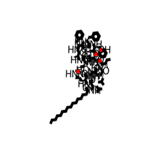 CCCCCCCCCCCCCCCC(=O)N[C@@H](CC(C)C)C(=O)N[C@@H](Cc1c[nH]cn1)C(=O)N[C@@H](CO)C(=O)N[C@@H](CC(C)C)C(=O)N[C@H](C(=O)N[C@@H](Cc1ccccc1)C(=O)N[C@@H](CCSC)C(=O)N[C@@H](C)C(=O)N[C@@H](Cc1ccccc1)C(=O)N[C@@H](Cc1ccccc1)C(=O)N[C@@H](CO)C(C)=O)[C@@H](C)CC